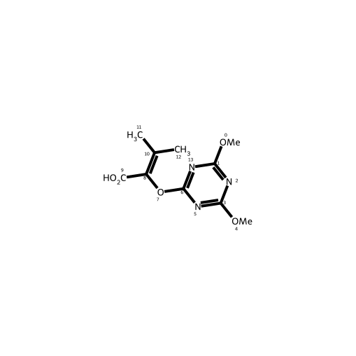 COc1nc(OC)nc(OC(C(=O)O)=C(C)C)n1